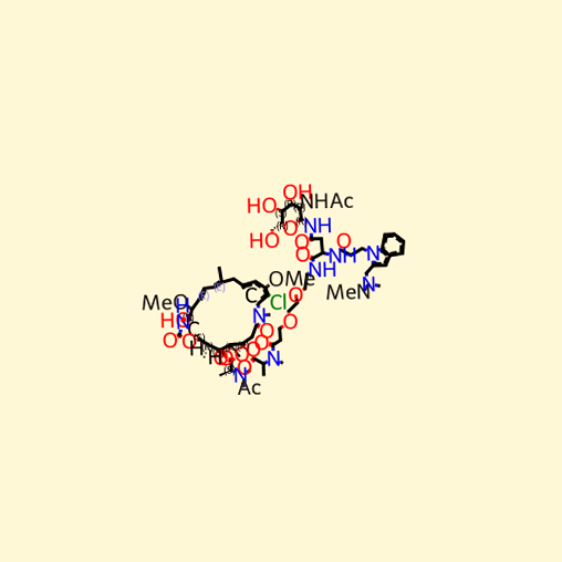 CNN(C)Cc1cc2ccccc2n1CCC(=O)NC(CC(=O)N[C@@H]1O[C@H](CO)[C@@H](O)[C@H](O)[C@H]1NC(C)=O)C(=O)NCCOCCOCCC(=O)N(C)C(C)C(=O)O[C@]1(OC(=O)[C@H](C)N(C)C(C)=O)CC(=O)N(C)c2cc(cc(OC)c2Cl)C/C(C)=C/C=C/C(OC)[C@@]2(O)C[C@H](OC(=O)N2)[C@@H](C)[C@@H]2O[C@]21C